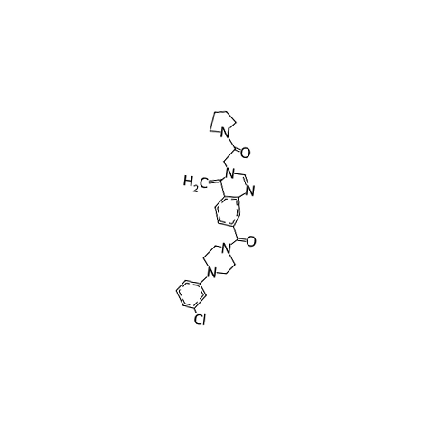 C=C1c2ccc(C(=O)N3CCN(c4cccc(Cl)c4)CC3)cc2N=CN1CC(=O)N1CCCC1